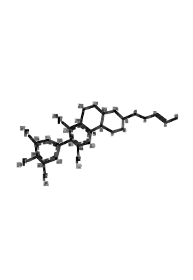 CC=CCCC1CCC2c3cc(F)c(-c4cc(F)c(F)c(F)c4)c(F)c3CCC2C1